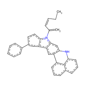 C=C(/C=C\CC)n1c2ccc(-c3ccccc3)cc2c2cc3c(cc21)Nc1cccc2cccc-3c12